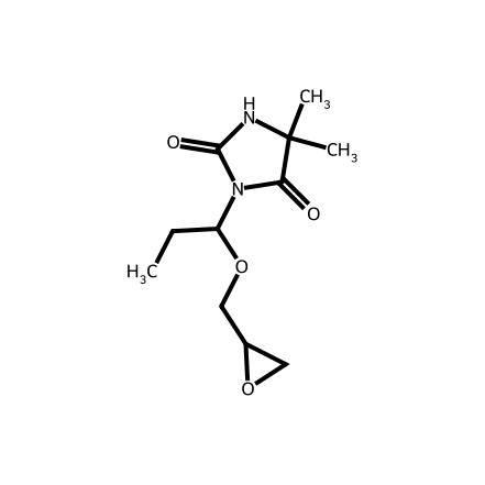 CCC(OCC1CO1)N1C(=O)NC(C)(C)C1=O